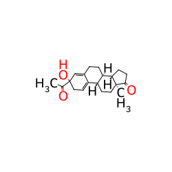 CC(=O)C1(O)C=C2CC[C@@H]3[C@H](CC[C@]4(C)C(=O)CC[C@@H]34)C2=CC1